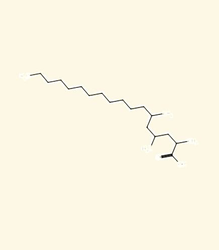 CCCCCCCCCCCCC(C)CC(C)CC(C)C(=O)O